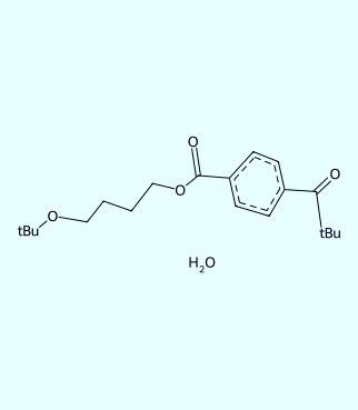 CC(C)(C)OCCCCOC(=O)c1ccc(C(=O)C(C)(C)C)cc1.O